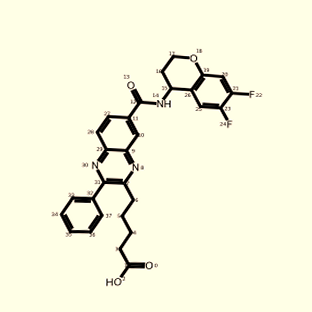 O=C(O)CCCCc1nc2cc(C(=O)NC3CCOc4cc(F)c(F)cc43)ccc2nc1-c1ccccc1